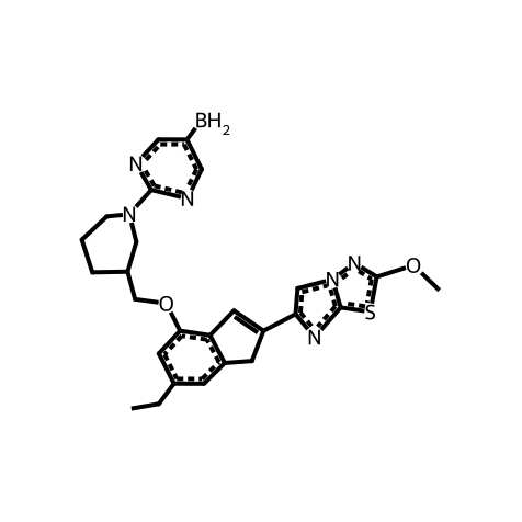 Bc1cnc(N2CCCC(COc3cc(CC)cc4c3C=C(c3cn5nc(OC)sc5n3)C4)C2)nc1